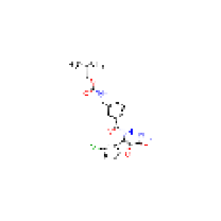 CC(C)COC(=O)NCc1cccc(C(=O)Nc2c(C(N)=O)oc3ccc(Br)cc23)c1